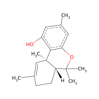 CC1=C[C@@]2(C)c3c(O)cc(C)cc3OC(C)(C)[C@@H]2CC1